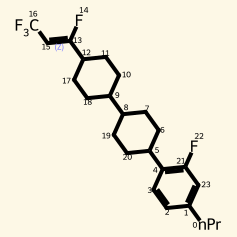 CCCc1ccc(C2CCC(C3CCC(/C(F)=C/C(F)(F)F)CC3)CC2)c(F)c1